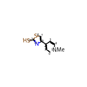 C/C=C(\C=C/NC)c1csc(S)n1